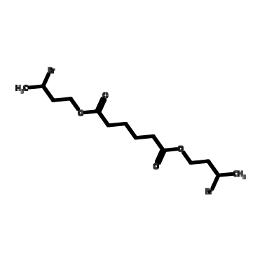 CC(Br)CCOC(=O)CCCCC(=O)OCCC(C)Br